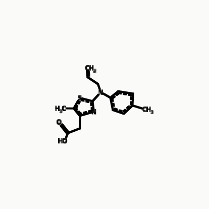 C=CCN(c1ccc(C)cc1)c1nc(CC(=O)O)c(C)s1